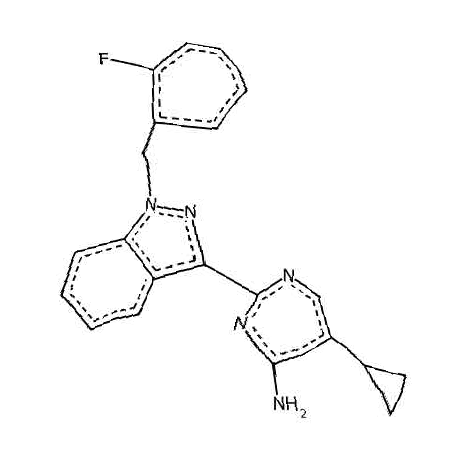 Nc1nc(-c2nn(Cc3ccccc3F)c3ccccc23)ncc1C1CC1